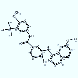 COc1ccc(NC(=O)c2ccc(C)c(Nc3ncnc4cnc(SO)nc34)c2)cc1C(F)(F)F